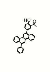 CC(=O)c1cc(-c2cc3c4ccccc4c(-c4ccccc4)cc3c3ccccc23)ccc1O